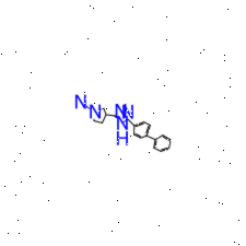 N#CN1CCC(c2nnc(-c3ccc(-c4ccccc4)cc3)[nH]2)C1